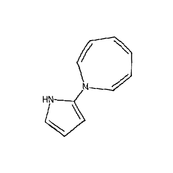 C1=CC=CN(c2ccc[nH]2)C=C1